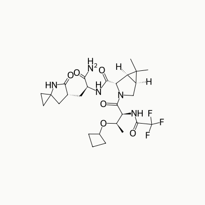 C[C@@H](OC1CCC1)[C@H](NC(=O)C(F)(F)F)C(=O)N1C[C@H]2[C@@H]([C@H]1C(=O)N[C@@H](C[C@@H]1CC3(CC3)NC1=O)C(N)=O)C2(C)C